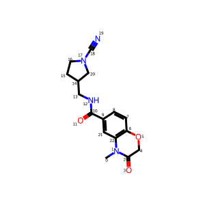 CN1C(=O)COc2ccc(C(=O)NCC3CCN(C#N)C3)cc21